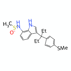 CCC(CC)(c1ccc(SC)cc1)c1c[nH]c2c(N[S+](C)[O-])cccc12